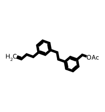 C=CCCc1cccc(CCc2cccc(COC(C)=O)c2)c1